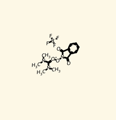 CN(C)C(=[O+]ON1C(=O)c2ccccc2C1=O)N(C)C.F[B-](F)(F)F